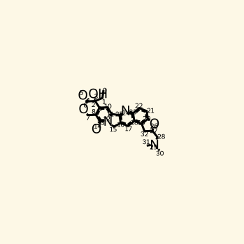 CC[C@@]1(O)C(=O)OCc2c1cc1n(c2=O)Cc2cc3c4c(ccc3nc2-1)OC(CN(C)C)C4